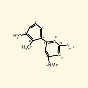 CNc1cc(-c2cccc(C)c2C)nc(N)n1